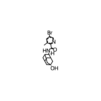 Cc1cc(Br)cnc1C(=O)N[C@H]1C2CC3CC1C[C@](O)(C3)C2